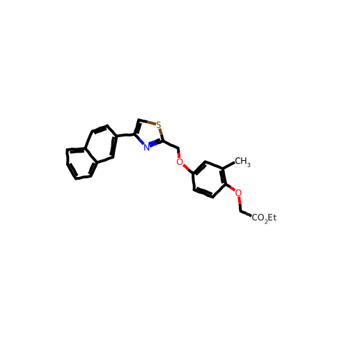 CCOC(=O)COc1ccc(OCc2nc(-c3ccc4ccccc4c3)cs2)cc1C